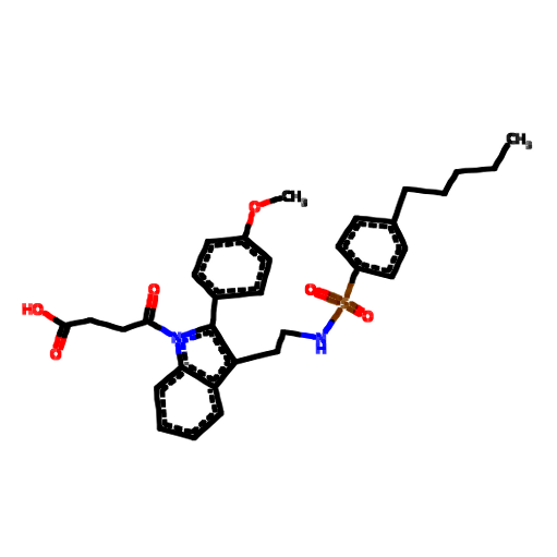 CCCCCc1ccc(S(=O)(=O)NCCc2c(-c3ccc(OC)cc3)n(C(=O)CCC(=O)O)c3ccccc23)cc1